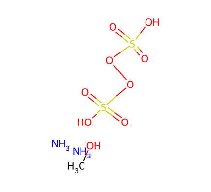 CO.N.N.O=S(=O)(O)OOS(=O)(=O)O